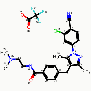 Cc1nn(-c2ccc(C#N)c(Cl)c2)c(C)c1Cc1ccc(C(=O)NCCN(C)C)cc1.O=C(O)C(F)(F)F